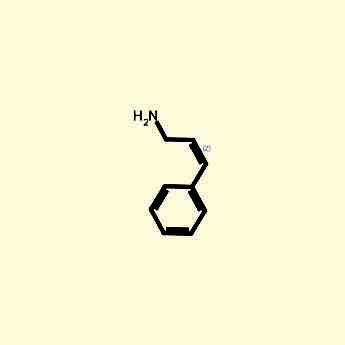 NC/C=C\c1ccccc1